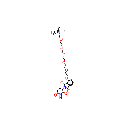 CN(C)CCOCCOCCOCCOCCOCCOc1cccc2c1C(=O)N(C1CCC(=O)NC1=O)C2=O